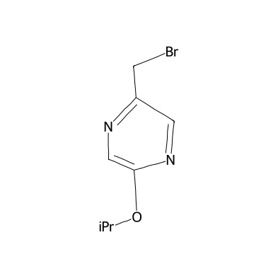 CC(C)Oc1cnc(CBr)cn1